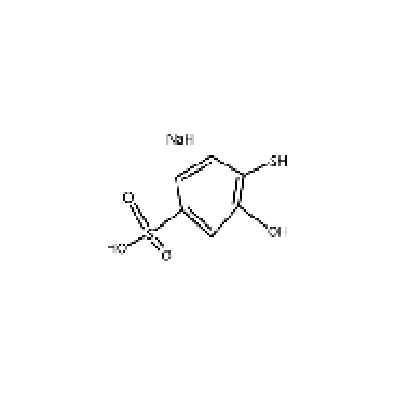 O=S(=O)(O)c1ccc(S)c(O)c1.[NaH]